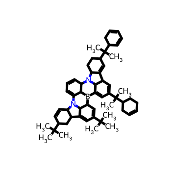 CC(C)(C)C1=CC2B3C4=CC(C(C)(C)C5CC=CCC5)=CC5C6=CC(C(C)(C)C7C=CC=CC7)CCC6N(C6C=CC=C(C36)N3C6C=CC(C(C)(C)C)CC6C(=C1)C23)C45